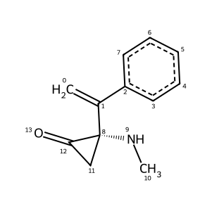 C=C(c1ccccc1)[C@@]1(NC)CC1=O